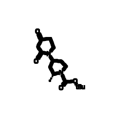 C[C@@H]1CC(N2CCC(=O)CC2=O)CCN1C(=O)OC(C)(C)C